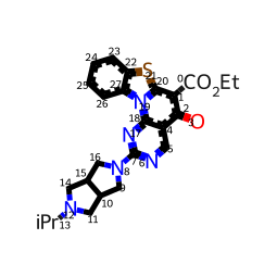 CCOC(=O)c1c(=O)c2cnc(N3CC4CN(C(C)C)CC4C3)nc2n2c1sc1ccccc12